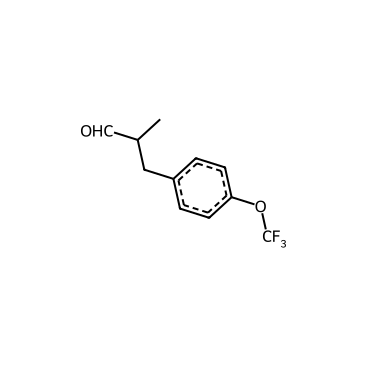 CC(C=O)Cc1ccc(OC(F)(F)F)cc1